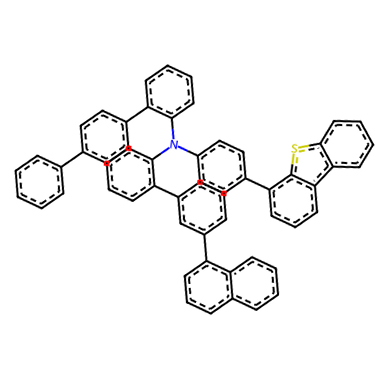 c1ccc(-c2ccc(-c3ccccc3N(c3ccc(-c4cccc5c4sc4ccccc45)cc3)c3ccccc3-c3cccc(-c4cccc5ccccc45)c3)cc2)cc1